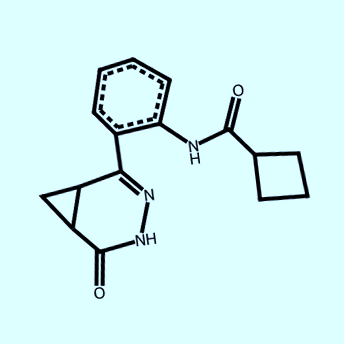 O=C(Nc1ccccc1C1=NNC(=O)C2CC12)C1CCC1